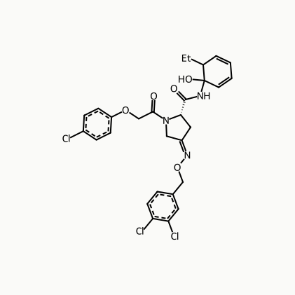 CCC1C=CC=CC1(O)NC(=O)[C@@H]1CC(=NOCc2ccc(Cl)c(Cl)c2)CN1C(=O)COc1ccc(Cl)cc1